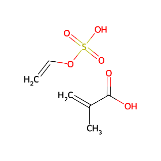 C=C(C)C(=O)O.C=COS(=O)(=O)O